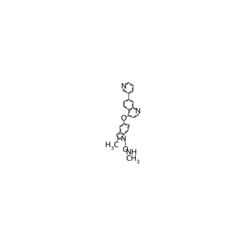 CNOCn1c(C)cc2cc(Oc3ccnc4cc(-c5cccnc5)ccc34)ccc21